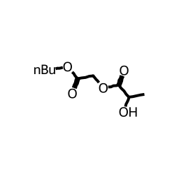 CCCCOC(=O)COC(=O)C(C)O